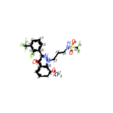 COc1cccc2c(=O)c(-c3cccc(C(F)(F)F)c3F)nn(CCCNS(=O)(=O)C(F)F)c12